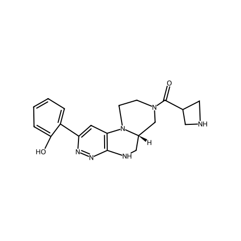 O=C(C1CNC1)N1CCN2c3cc(-c4ccccc4O)nnc3NC[C@H]2C1